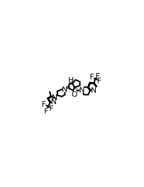 Cc1cc(C(F)(F)F)nn1C1CCN([C@@H]2C[C@H]3CCC[C@@]3(C(=O)N3CCc4ncc(C(F)(F)F)cc4C3)C2)CC1